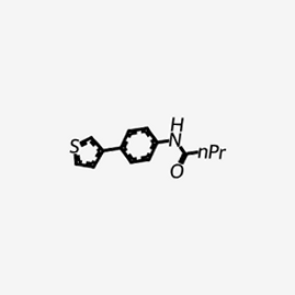 CCCC(=O)Nc1ccc(-c2ccsc2)cc1